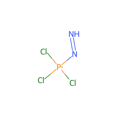 N=N[P](Cl)(Cl)Cl